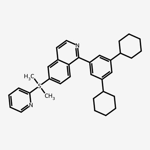 CS(C)(c1ccc2c(-c3cc(C4CCCCC4)cc(C4CCCCC4)c3)nccc2c1)c1ccccn1